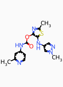 Cc1cc(NC(=O)Oc2nc(C)sc2Nc2cnn(C)c2)ccn1